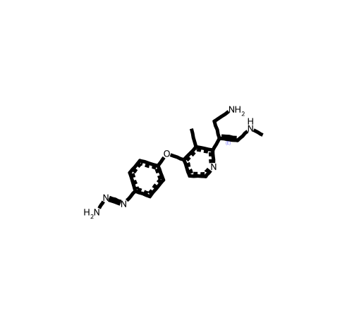 CN/C=C(\CN)c1nccc(Oc2ccc(N=NN)cc2)c1C